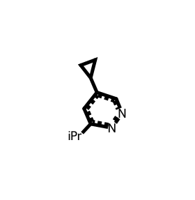 CC(C)c1cc(C2CC2)cnn1